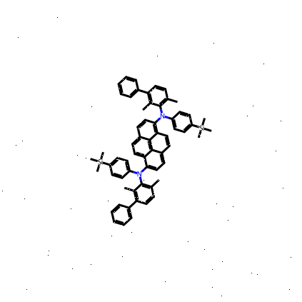 Cc1ccc(-c2ccccc2)c(C)c1N(c1ccc([Si](C)(C)C)cc1)c1ccc2ccc3c(N(c4ccc([Si](C)(C)C)cc4)c4c(C)ccc(-c5ccccc5)c4C)ccc4ccc1c2c43